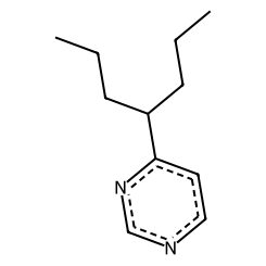 CCCC(CCC)c1ccncn1